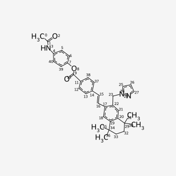 CC(=O)Nc1ccc(OC(=O)c2ccc(/C=C/c3cc4c(cc3Cn3cccn3)C(C)(C)CCC4(C)C)cc2)cc1